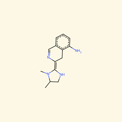 CC1CNC(=C2Cc3c(N)cccc3C=N2)N1C